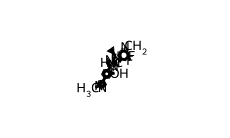 C=N[C@@H]1C[C@H](N(c2ncc(-c3ccc(-c4cnn(C)c4)cc3O)nn2)C2CC2)C(C)CC(F)(F)C1